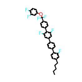 CCCCCc1ccc(-c2ccc(-c3cc(F)c(-c4ccc(C(F)(F)Oc5ccc(F)c(F)c5)cc4)c(F)c3)cc2)c(F)c1